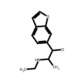 CCNC(C)C(Cl)c1ccc2ccoc2c1